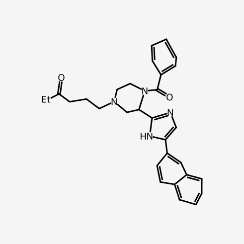 CCC(=O)CCCN1CCN(C(=O)c2ccccc2)C(c2ncc(-c3ccc4ccccc4c3)[nH]2)C1